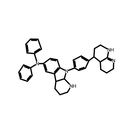 c1ccc(N(c2ccccc2)c2ccc3c(c2)C2CCCNC2N3c2ccc(C3CCNC4=NCCCC43)cc2)cc1